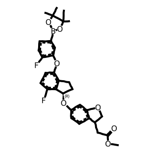 COC(=O)CC1COc2cc(O[C@@H]3CCc4c(Oc5cc(B6OC(C)(C)C(C)(C)O6)ccc5F)ccc(F)c43)ccc21